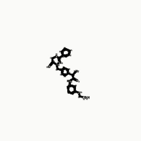 CC(C)C(C(=O)Nc1cccc(SCC(=O)O)c1)c1ccc(CN2N=C(c3ccccc3)OCC2=O)cc1